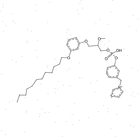 CCCCCCCCCCCCOc1cccc(OCC(COP(=O)(O)Oc2cccc(C[n+]3ccsc3)c2)OC)c1